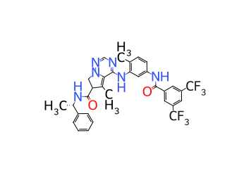 CC1=C2C(Nc3cc(NC(=O)c4cc(C(F)(F)F)cc(C(F)(F)F)c4)ccc3C)=NC=NN2CC1C(=O)N[C@@H](C)c1ccccc1